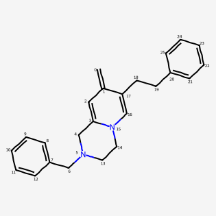 C=C1C=C2CN(Cc3ccccc3)CCN2C=C1CCc1ccccc1